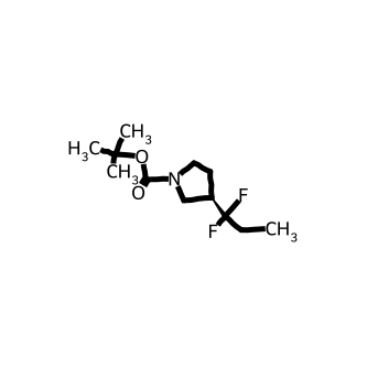 CCC(F)(F)[C@@H]1CCN(C(=O)OC(C)(C)C)C1